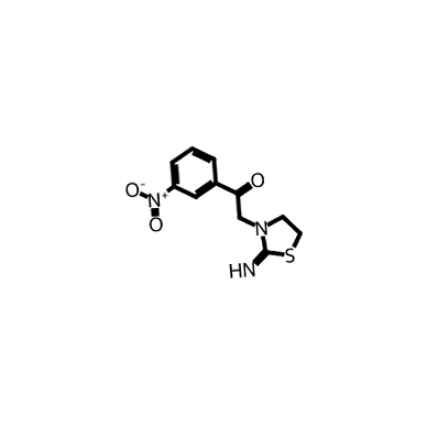 N=C1SCCN1CC(=O)c1cccc([N+](=O)[O-])c1